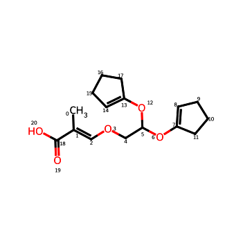 CC(=COCC(OC1=CCCC1)OC1=CCCC1)C(=O)O